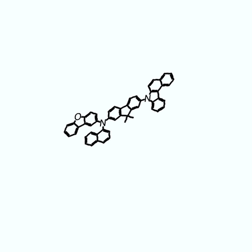 CC1(C)c2cc(N(c3ccc4oc5ccccc5c4c3)c3cccc4ccccc34)ccc2-c2ccc(-n3c4ccccc4c4c5ccccc5ccc43)cc21